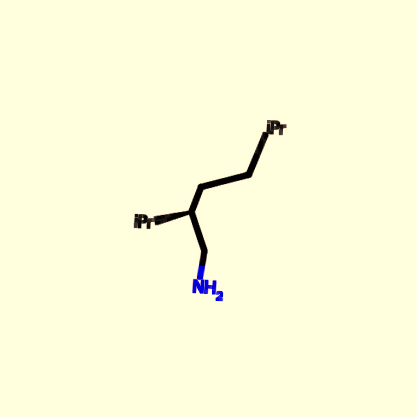 CC(C)CC[C@@H](CN)C(C)C